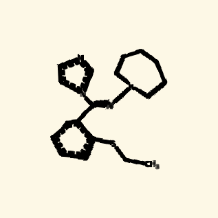 CCSc1ccccc1C(=NN1CCCCCC1)n1ccnc1